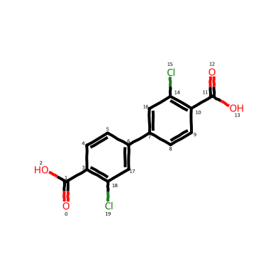 O=C(O)c1ccc(-c2ccc(C(=O)O)c(Cl)c2)cc1Cl